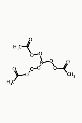 CC(=O)OOOB(OOC(C)=O)OOC(C)=O